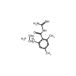 COC(C)=O.Cc1cc(C)c(C(=O)NC(=N)N)c(C)c1.P